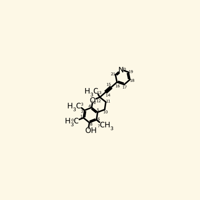 Cc1c(C)c2c(c(C)c1O)CCC(C)(C#Cc1cccnc1)O2